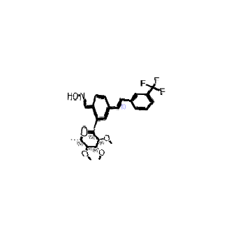 CO[C@@H]1[C@@H](OC)[C@H](C)O[C@@H](c2cc(/C=C/c3cccc(C(F)(F)F)c3)ccc2C=NO)[C@H]1OC